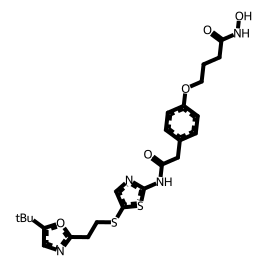 CC(C)(C)c1cnc(CCSc2cnc(NC(=O)Cc3ccc(OCCCC(=O)NO)cc3)s2)o1